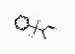 C=CC(N)C(C)(C)c1ccccc1.Cl